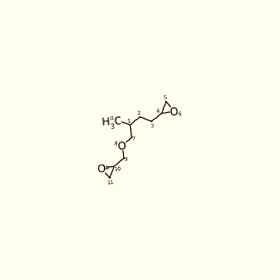 CC(CCC1CO1)COCC1CO1